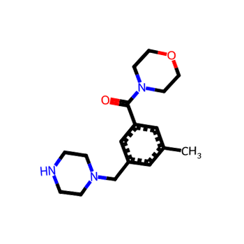 Cc1cc(CN2CCNCC2)cc(C(=O)N2CCOCC2)c1